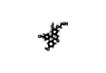 COc1ccc(N2C(=O)Cc3cc(OCCO)c(OC)cc3C2c2ccc(Cl)cc2)cc1